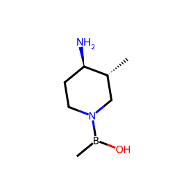 CB(O)N1CC[C@@H](N)[C@H](C)C1